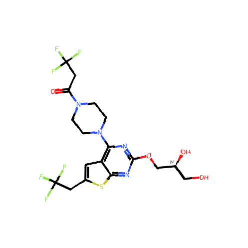 O=C(CC(F)(F)F)N1CCN(c2nc(OC[C@@H](O)CO)nc3sc(CC(F)(F)F)cc23)CC1